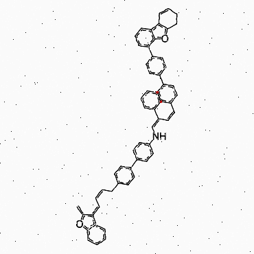 C=c1oc2ccccc2/c1=C/C=C\Cc1ccc(-c2ccc(N/C=C(\C=C/c3ccc(-c4ccc(-c5cccc6c7c(oc56)CCC=C7)cc4)cc3)c3ccccc3)cc2)cc1